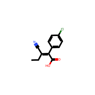 CCC(C#N)=C(C(=O)O)c1ccc(Cl)cc1